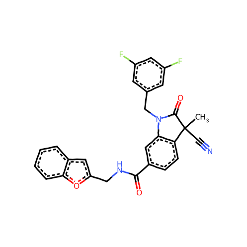 CC1(C#N)C(=O)N(Cc2cc(F)cc(F)c2)c2cc(C(=O)NCc3cc4ccccc4o3)ccc21